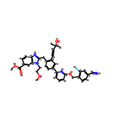 COCCn1c(Cc2ccc(-c3cccc(OCc4ccc(C#N)cc4F)n3)cc2C#CC(C)(C)O)nc2ccc(C(=O)OC)cc21